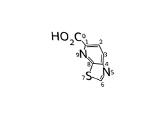 O=C(O)c1ccc2ncsc2n1